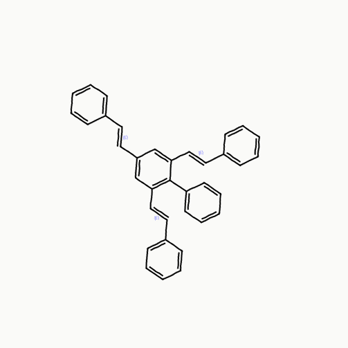 C(=C\c1cc(/C=C/c2ccccc2)c(-c2ccccc2)c(/C=C/c2ccccc2)c1)/c1ccccc1